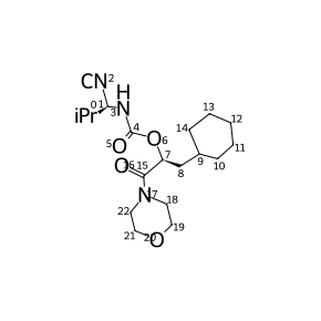 CC(C)[C@@H](C#N)NC(=O)O[C@@H](CC1CCCCC1)C(=O)N1CCOCC1